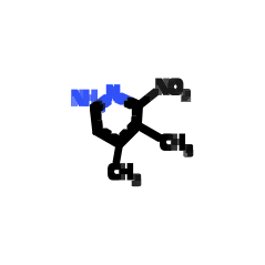 Cc1ccnc([N+](=O)[O-])c1C.N